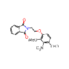 COc1c(OCCN2C(=O)c3ccccc3C2=O)ccc(C=O)c1[N+](=O)[O-]